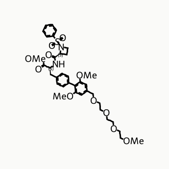 COCCOCCOCCOCc1cc(OC)c(-c2ccc(C[C@H](NC(=O)[C@@H]3CCN3S(=O)(=O)c3ccccc3)C(=O)OC)cc2)c(OC)c1